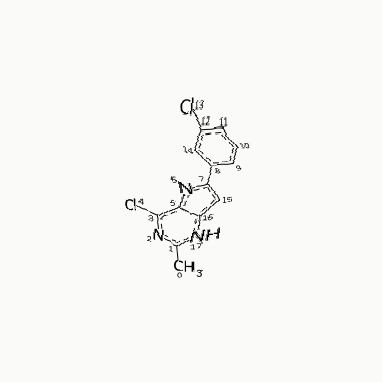 Cc1nc(Cl)c2nc(-c3cccc(Cl)c3)cc-2[nH]1